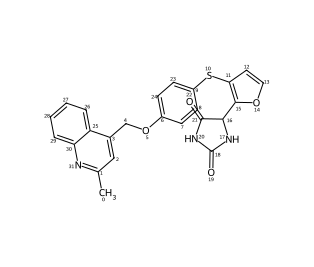 Cc1cc(COc2ccc(Sc3ccoc3C3NC(=O)NC3=O)cc2)c2ccccc2n1